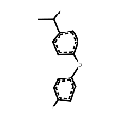 CC(C)c1ccc(Oc2ccc(I)cc2)cc1